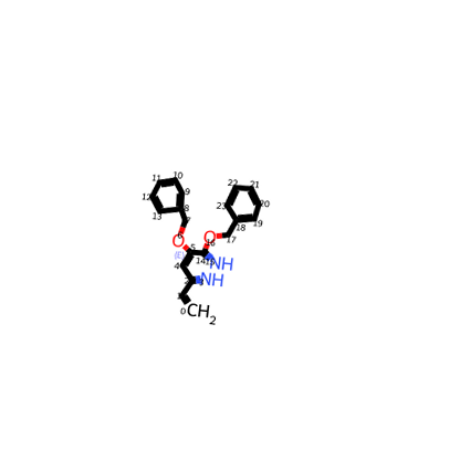 C=CC(=N)/C=C(/OCc1ccccc1)C(=N)OCc1ccccc1